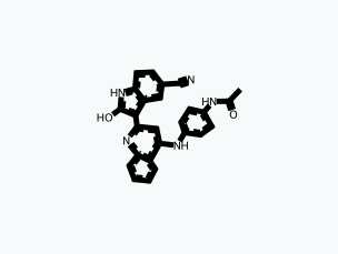 CC(=O)Nc1ccc(Nc2cc(-c3c(O)[nH]c4ccc(C#N)cc34)nc3ccccc23)cc1